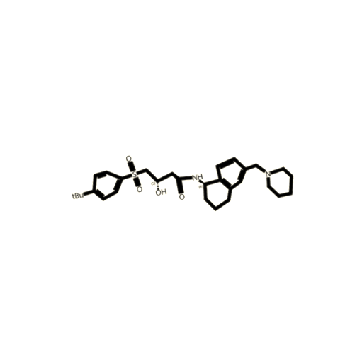 CC(C)(C)c1ccc(S(=O)(=O)C[C@@H](O)CC(=O)N[C@@H]2CCCc3cc(CN4CCCCC4)ccc32)cc1